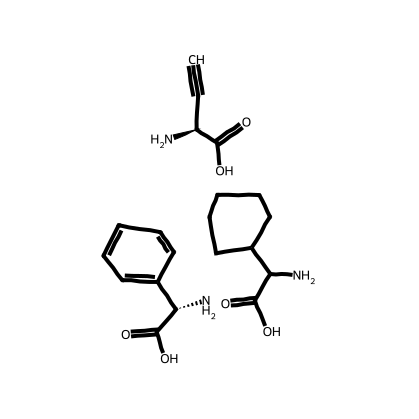 C#C[C@H](N)C(=O)O.NC(C(=O)O)C1CCCCC1.N[C@H](C(=O)O)c1ccccc1